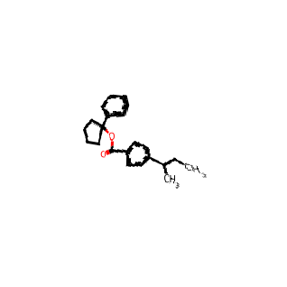 CCC(C)c1ccc(C(=O)OC2(c3ccccc3)CCCC2)cc1